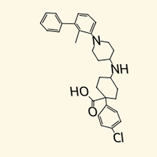 Cc1c(-c2ccccc2)cccc1N1CCC(NC2CCC(C(=O)O)(c3ccc(Cl)cc3)CC2)CC1